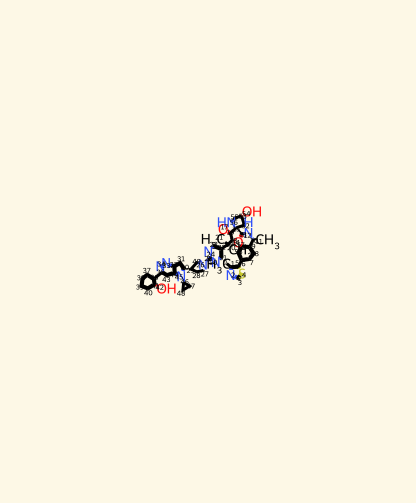 Cc1ncsc1-c1ccc([C@H](C)NC(=O)[C@]2(C(=O)CC(C)(C)c3cnc(N4CC[C@H](c5cc6nnc(-c7ccccc7O)cc6n5C5CC5)C4)nc3)CC(O)CN2)cc1